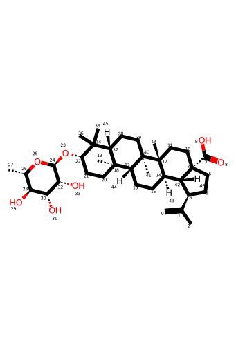 C=C(C)[C@@H]1CC[C@]2(C(=O)O)CC[C@]3(C)[C@H](CC[C@@H]4[C@@]5(C)CC[C@H](O[C@@H]6O[C@@H](C)[C@H](O)[C@@H](O)[C@H]6O)C(C)(C)[C@@H]5CC[C@]43C)[C@@H]12